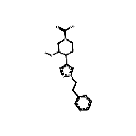 COC1CN(C(=O)O)CCC1c1cn(CCc2ccccc2)nn1